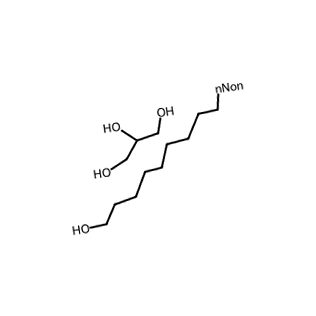 CCCCCCCCCCCCCCCCCCO.OCC(O)CO